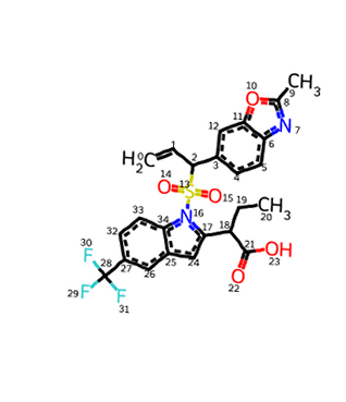 C=CC(c1ccc2nc(C)oc2c1)S(=O)(=O)n1c(C(CC)C(=O)O)cc2cc(C(F)(F)F)ccc21